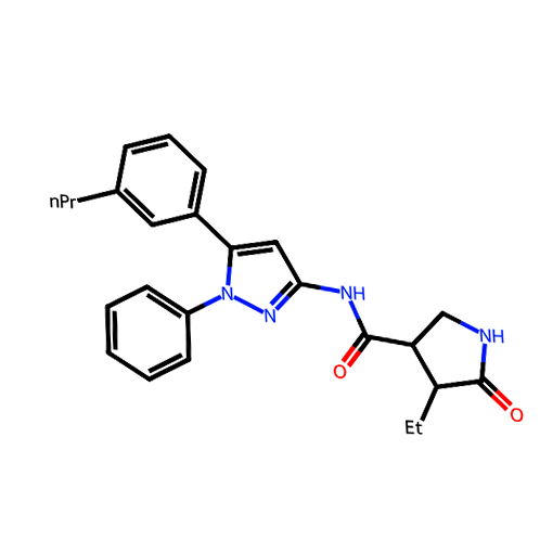 CCCc1cccc(-c2cc(NC(=O)C3CNC(=O)C3CC)nn2-c2ccccc2)c1